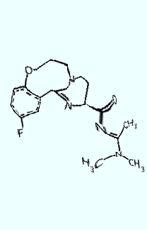 C/C(=N\C(=O)[C@@H]1CN2CCOc3ccc(F)cc3C2=N1)N(C)C